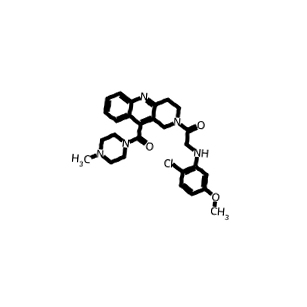 COc1ccc(Cl)c(NCC(=O)N2CCc3nc4ccccc4c(C(=O)N4CCN(C)CC4)c3C2)c1